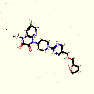 Cn1c(=O)c(=O)n(C2CCN(c3ncc(COCC4CCCO4)cn3)CC2)c2ncc(Cl)cc21